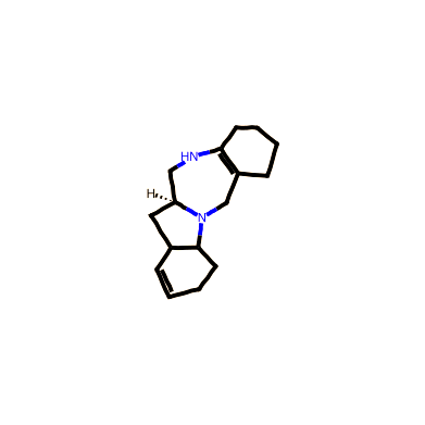 C1=CC2C[C@H]3CNC4=C(CCCC4)CN3C2CC1